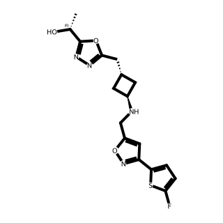 C[C@@H](O)c1nnc(C[C@H]2C[C@H](NCc3cc(-c4ccc(F)s4)no3)C2)o1